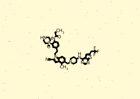 C=CC(=O)Nc1ccc(CCn2c(C#N)cc3c(C)c(CN4CCC(Nc5ncnc6sc(CC(F)(F)F)cc56)CC4)ccc32)cc1P1(=O)CCNCC1